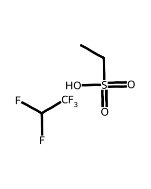 CCS(=O)(=O)O.FC(F)C(F)(F)F